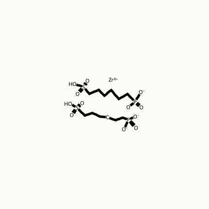 O=P([O-])([O-])CCCCCCS(=O)(=O)O.O=P([O-])([O-])CCCCCCS(=O)(=O)O.[Zr+4]